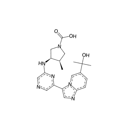 C[C@@H]1CN(C(=O)O)C[C@@H]1Nc1cncc(-c2cnc3ccc(C(C)(C)O)cn23)n1